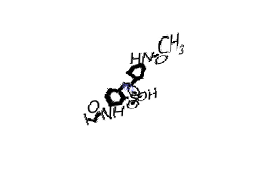 CC(=O)Nc1ccc(/C=C/c2ccc(NC(=O)CI)cc2S(=O)(=O)O)cc1